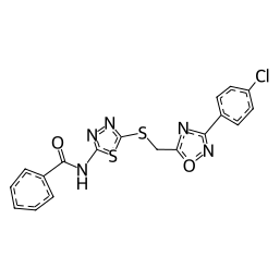 O=C(Nc1nnc(SCc2nc(-c3ccc(Cl)cc3)no2)s1)c1ccccc1